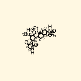 CCO.COc1c(-c2ccc3cc(NS(C)(=O)=O)ccc3c2)cc(-n2c(=O)cc[nH]c2=O)cc1C(C)(C)C